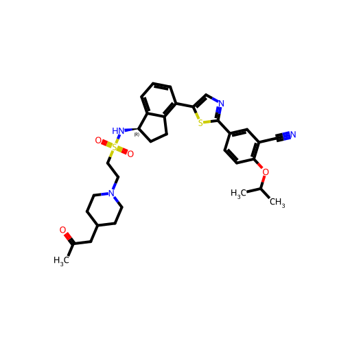 CC(=O)CC1CCN(CCS(=O)(=O)N[C@@H]2CCc3c(-c4cnc(-c5ccc(OC(C)C)c(C#N)c5)s4)cccc32)CC1